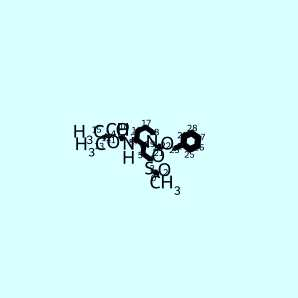 CC(=O)SCCC1C(NC(=O)OC(C)(C)C)CCCN1C(=O)OCc1ccccc1